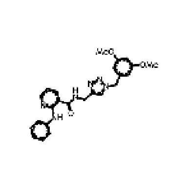 COc1cc(Cn2cc(CNC(=O)c3cccnc3Nc3ccccc3)nn2)cc(OC)c1